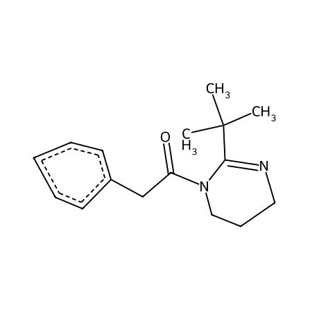 CC(C)(C)C1=NCCCN1C(=O)Cc1ccccc1